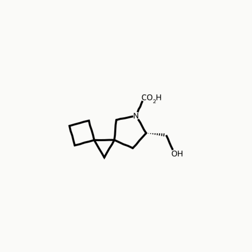 O=C(O)N1CC2(C[C@H]1CO)CC21CCC1